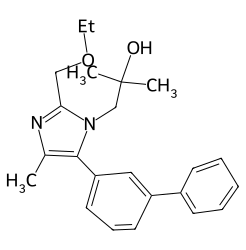 CCOCc1nc(C)c(-c2cccc(-c3ccccc3)c2)n1CC(C)(C)O